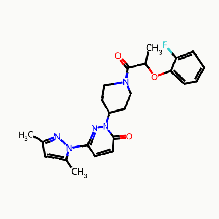 Cc1cc(C)n(-c2ccc(=O)n(C3CCN(C(=O)C(C)Oc4ccccc4F)CC3)n2)n1